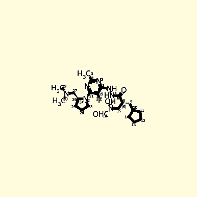 Cc1nc(NNC(=O)[C@H](CC2CCCC2)CN(O)C=O)c(F)c(N2CCC[C@H]2CN(C)C)n1